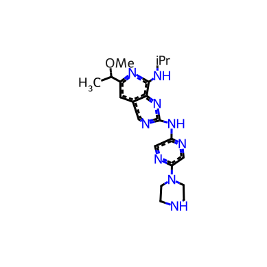 COC(C)c1cc2cnc(Nc3cnc(N4CCNCC4)cn3)nc2c(NC(C)C)n1